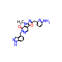 Cn1c2nc(Cc3cccc(N)n3)oc2c2cnn(Cc3cccc4[nH]ncc34)c(=O)c21